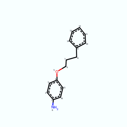 Nc1ccc(OCCCc2ccccc2)cc1